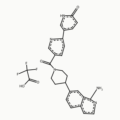 Nc1nccc2ccc(C3CCN(C(=O)c4ccc(-c5ccc(=O)[nH]c5)nc4)CC3)cc12.O=C(O)C(F)(F)F